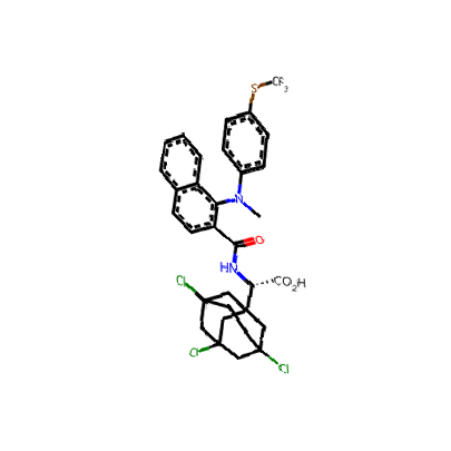 CN(c1ccc(SC(F)(F)F)cc1)c1c(C(=O)N[C@H](C(=O)O)C23CC4(Cl)CC(Cl)(CC(Cl)(C4)C2)C3)ccc2ccccc12